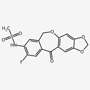 CS(=O)(=O)Nc1cc2c(cc1F)C(=O)c1cc3c(cc1OC2)OCO3